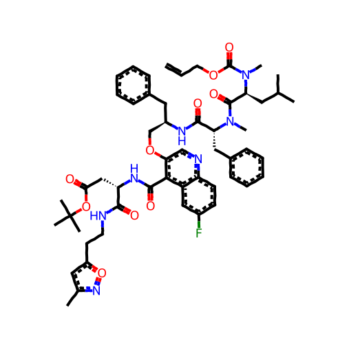 C=CCOC(=O)N(C)[C@@H](CC(C)C)C(=O)N(C)[C@H](Cc1ccccc1)C(=O)N[C@@H](COc1cnc2ccc(F)cc2c1C(=O)N[C@@H](CC(=O)OC(C)(C)C)C(=O)NCCc1cc(C)no1)Cc1ccccc1